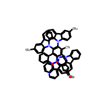 CC(C)(C)c1ccc2c(c1)c1ccccc1n2-c1c(C#N)c(-n2c3ccccc3c3cc(C(C)(C)C)ccc32)c(-n2c3ccccc3c3cc(C(C)(C)C)ccc32)c(-c2ccccc2-n2c3ncccc3c3cccnc32)c1-n1c2ccccc2c2cc(C(C)(C)C)ccc21